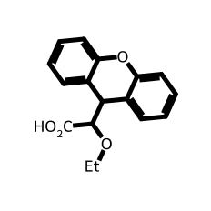 CCOC(C(=O)O)C1c2ccccc2Oc2ccccc21